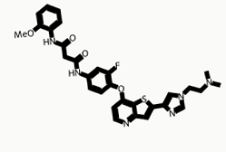 COc1ccccc1NC(=O)CC(=O)Nc1ccc(Oc2ccnc3cc(-c4cn(CCN(C)C)cn4)sc23)c(F)c1